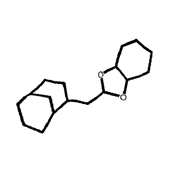 C1CC2CCC(CC3OC4CCCCC4O3)C(C1)C2